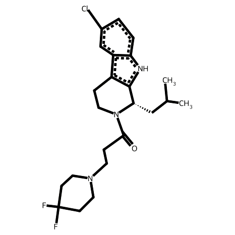 CC(C)C[C@H]1c2[nH]c3ccc(Cl)cc3c2CCN1C(=O)CCN1CCC(F)(F)CC1